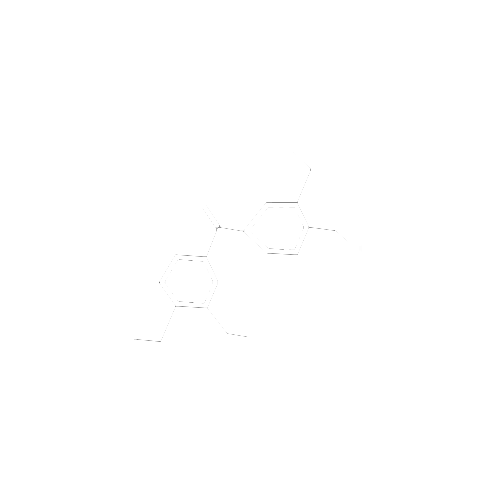 O=C(c1ccc(CO)c(CO)c1)c1ccc(CO)c(CO)c1